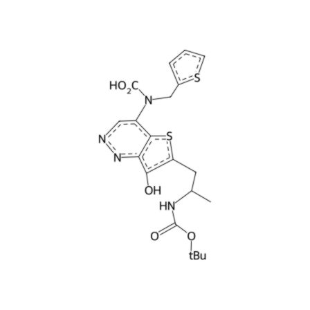 CC(Cc1sc2c(N(Cc3cccs3)C(=O)O)cnnc2c1O)NC(=O)OC(C)(C)C